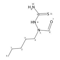 CCCCCN([C]=O)NC(N)=S